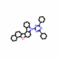 c1ccc(-c2nc(-c3ccccc3)nc(-n3c4ccccc4c4c5c(ccc43)oc3c4ccccc4ccc35)n2)cc1